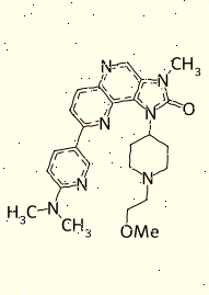 COCCN1CCC(n2c(=O)n(C)c3cnc4ccc(-c5ccc(N(C)C)nc5)nc4c32)CC1